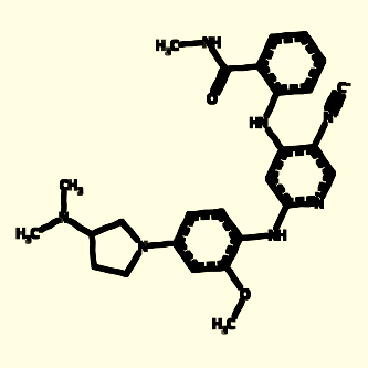 [C-]#[N+]c1cnc(Nc2ccc(N3CCC(N(C)C)C3)cc2OC)cc1Nc1ccccc1C(=O)NC